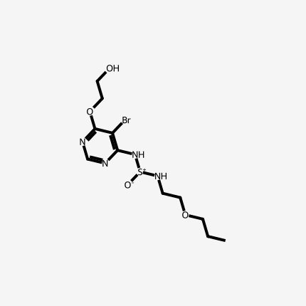 CCCOCCN[S+]([O-])Nc1ncnc(OCCO)c1Br